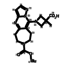 CC(C)(C)OC(=O)N1CCc2nc3ccnn3c(N3CC(C)(C(=O)O)C3)c2CC1